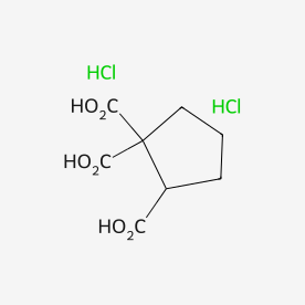 Cl.Cl.O=C(O)C1CCCC1(C(=O)O)C(=O)O